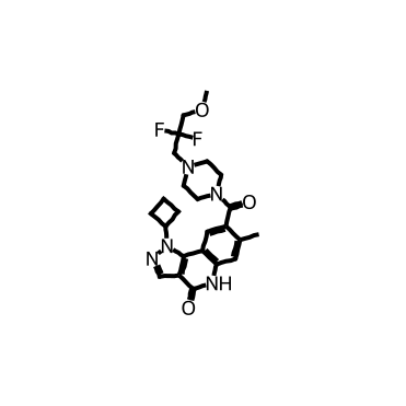 COCC(F)(F)CN1CCN(C(=O)c2cc3c(cc2C)[nH]c(=O)c2cnn(C4CCC4)c23)CC1